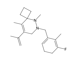 C=C(C)C1=C(C)C2(CCC2)N(C)N(CC2=CCCC(F)=C2C)C1